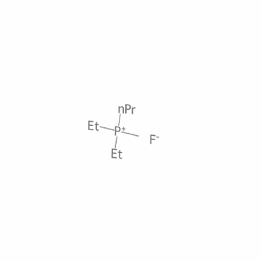 CCC[P+](C)(CC)CC.[F-]